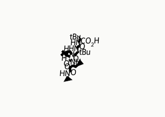 CC(C)(C)[C@H](NC(=O)N[C@H](C(=O)N1C[C@H]2[C@@H]([C@H]1C(=O)NC(CC1CC1)C(=O)C(=O)NC1CC1)C2(C)C)C(C)(C)C)C(=O)O